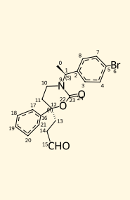 C[C@@H](c1ccc(Br)cc1)N1CC[C@](CCC=O)(c2ccccc2)OC1=O